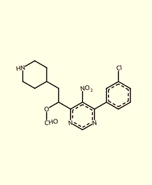 O=COC(CC1CCNCC1)c1ncnc(-c2cccc(Cl)c2)c1[N+](=O)[O-]